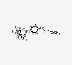 COCCOc1ncc(B2OC(C)(C)C(C)(C)O2)cn1